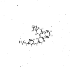 CCn1cc(CN2CCN(c3nccnc3N3CCC(CO)CC3)CC2)cn1